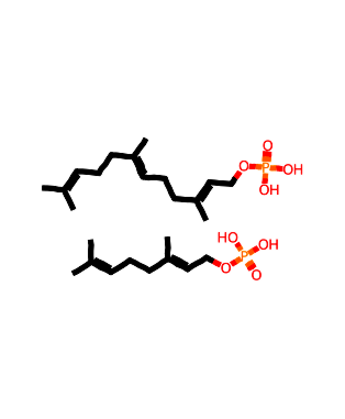 CC(C)=CCC/C(C)=C/COP(=O)(O)O.CC(C)=CCCC(C)=CCCC(C)=CCOP(=O)(O)O